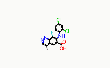 Cc1cnnc2c(F)c(Nc3ccc(Cl)cc3Cl)c(C(=O)O)cc12